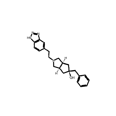 O[C@@]1(Cc2ccccc2)C[C@H]2CN(CCc3ccc4[nH]nnc4c3)C[C@H]2C1